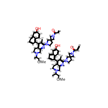 C=CC(=O)N1CC2(CCN(c3nc4c(c(-c5cccc6cc(O)ccc56)c3C)CCN(C(C)COC)C4)C2)C1.C=CC(=O)N1CC2(CCN(c3nc4c(c(-c5cccc6cc(O)ccc56)c3C)CCN(C(C)COC)C4)C2)C1